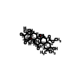 COC(=O)[C@@]12CC[C@]3(C)[C@H](C(=O)C=C4[C@@]5(C)[C@H]6O[C@@]6(C#N)C(=O)C(C)(C)[C@@H]5CC[C@]43C)[C@@H]1CC(C)(C)[C@H](O)C2